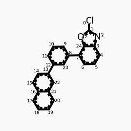 Clc1nc2cccc(-c3cccc(-c4ccc5ccccc5c4)c3)c2o1